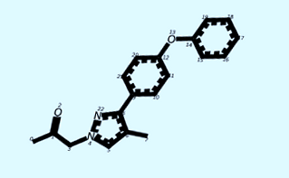 CC(=O)Cn1cc(C)c(-c2ccc(Oc3ccccc3)cc2)n1